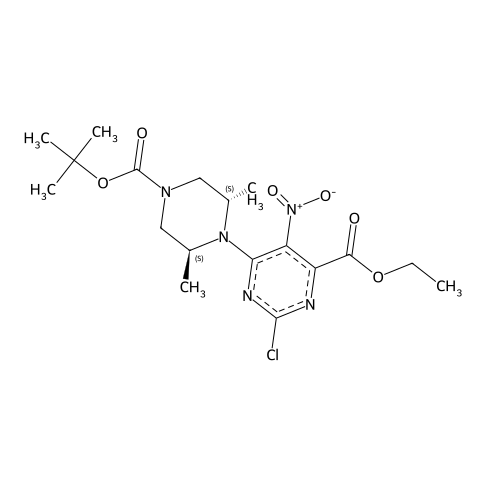 CCOC(=O)c1nc(Cl)nc(N2[C@@H](C)CN(C(=O)OC(C)(C)C)C[C@@H]2C)c1[N+](=O)[O-]